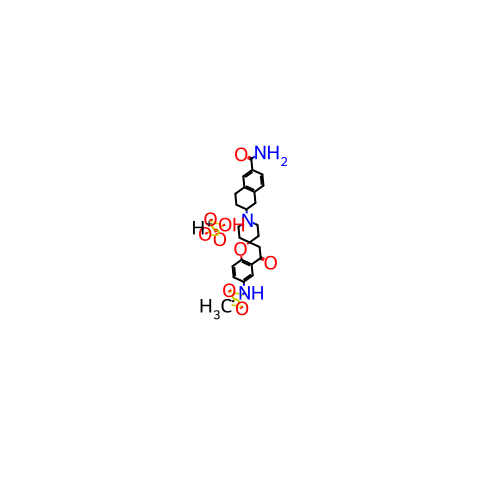 CS(=O)(=O)Nc1ccc2c(c1)C(=O)CC1(CCN(C3CCc4cc(C(N)=O)ccc4C3)CC1)O2.O=S(=O)([O-])O.[H+]